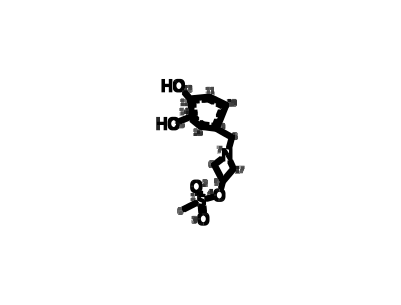 CS(=O)(=O)OC1CN(Cc2ccc(O)c(O)c2)C1